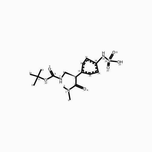 CN(C)C(=O)[C@@H](CNC(=O)OC(C)(C)C)c1ccc(NS(=O)(=O)O)cc1